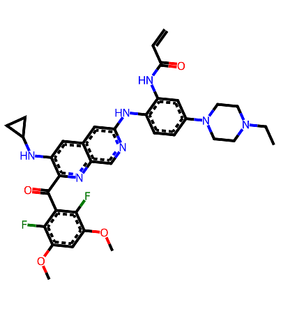 C=CC(=O)Nc1cc(N2CCN(CC)CC2)ccc1Nc1cc2cc(NC3CC3)c(C(=O)c3c(F)c(OC)cc(OC)c3F)nc2cn1